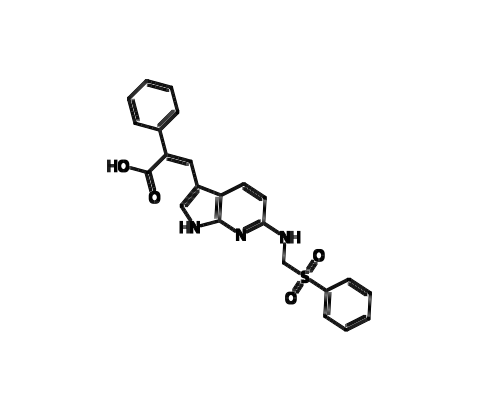 O=C(O)/C(=C\c1c[nH]c2nc(NCS(=O)(=O)c3ccccc3)ccc12)c1ccccc1